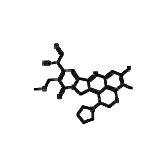 COCc1c(C(O)C=O)cc2n(c1=O)Cc1c-2nc2cc(F)c(C)c3c2c1C(N1CCCC1)CS3